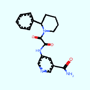 NC(=O)c1cncc(NC(=O)C(=O)N2CCCCC2c2ccccc2)c1